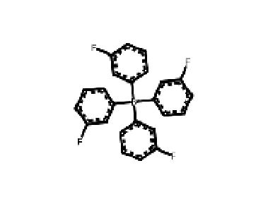 Fc1cccc([B-](c2cccc(F)c2)(c2cccc(F)c2)c2cccc(F)c2)c1